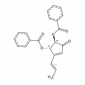 C/C=C/C1=CC(=O)[C@H](OC(=O)c2ccccc2)[C@H]1OC(=O)c1ccccc1